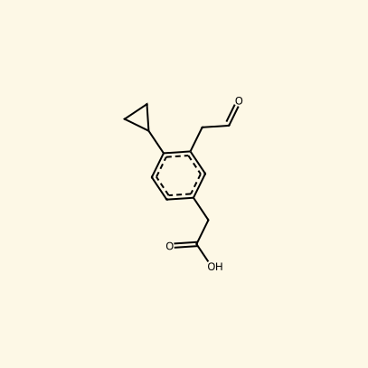 O=CCc1cc(CC(=O)O)ccc1C1CC1